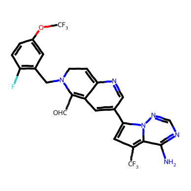 Nc1ncnn2c(-c3cnc4c(c3)=C(C=O)N(Cc3cc(OC(F)(F)F)ccc3F)CC=4)cc(C(F)(F)F)c12